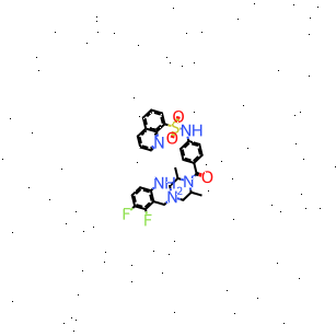 CC1CN(Cc2c(N)ccc(F)c2F)CC(C)N1C(=O)c1ccc(NS(=O)(=O)c2cccc3cccnc23)cc1